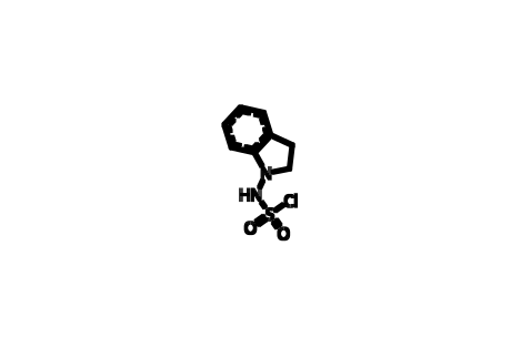 O=S(=O)(Cl)NN1CCc2ccccc21